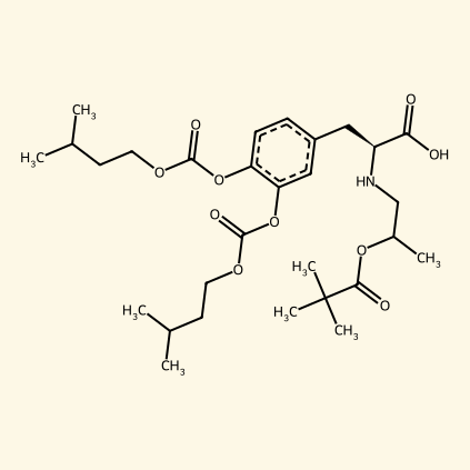 CC(C)CCOC(=O)Oc1ccc(C[C@H](NCC(C)OC(=O)C(C)(C)C)C(=O)O)cc1OC(=O)OCCC(C)C